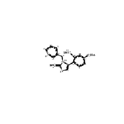 C=C1SC=C(c2ccc(OC)cc2OC)N1Cc1cccnc1